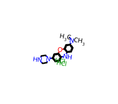 CN(C)c1ccc2c(c1)Oc1cc(N3CCNCC3)ccc1N2.Cl.Cl